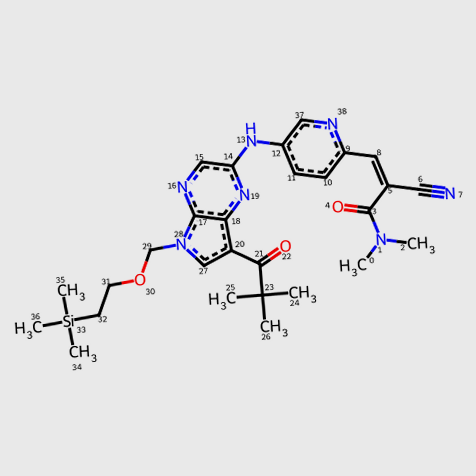 CN(C)C(=O)C(C#N)=Cc1ccc(Nc2cnc3c(n2)c(C(=O)C(C)(C)C)cn3COCC[Si](C)(C)C)cn1